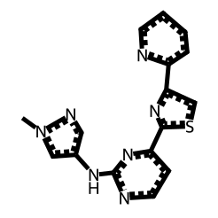 Cn1cc(Nc2nccc(-c3nc(-c4ccccn4)cs3)n2)cn1